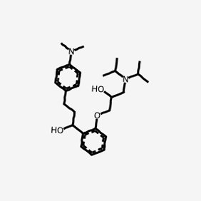 CC(C)N(CC(O)COc1ccccc1C(O)CCc1ccc(N(C)C)cc1)C(C)C